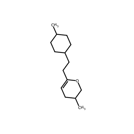 CC1CCC(CCC2=CCC(C)CO2)CC1